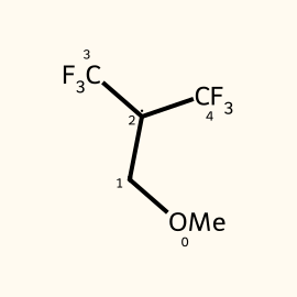 COC[C](C(F)(F)F)C(F)(F)F